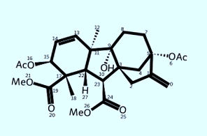 C=C1C[C@]23C[C@@]1(OC(C)=O)CC[C@]2(O)[C@]1(C)C=C[C@H](OC(C)=O)[C@@](C)(C(=O)OC)[C@H]1[C@@H]3C(=O)OC